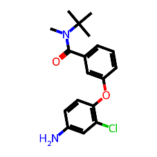 CN(C(=O)c1cccc(Oc2ccc(N)cc2Cl)c1)C(C)(C)C